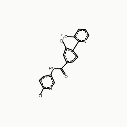 O=C(Nc1ccc(Cl)nc1)c1ccc(-c2ncccc2C(F)(F)F)c(Cl)c1